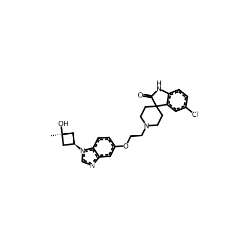 C[C@]1(O)C[C@@H](n2cnc3cc(OCCN4CCC5(CC4)C(=O)Nc4ccc(Cl)cc45)ccc32)C1